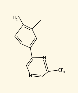 Cc1cc(-c2cncc(C(F)(F)F)n2)ccc1N